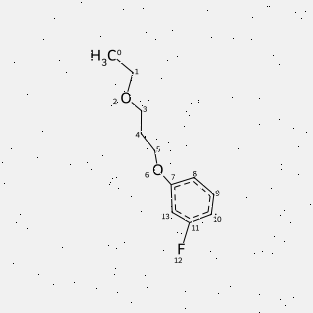 CCOCCCOc1cc[c]c(F)c1